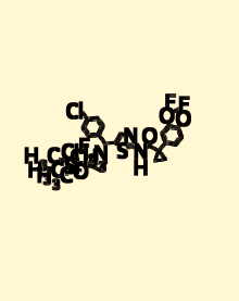 CC(C)(C)[Si](C)(C)O[C@@H]1CCN(C(c2cnc(NC(=O)C3(c4ccc5c(c4)OC(F)(F)O5)CC3)s2)c2ccc(Cl)cc2F)C1